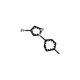 Cc1ccc(-n2cc(C(C)C)cn2)cc1